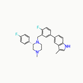 Cc1c[nH]c2ccc(-c3ccc(F)c(CN4CCN(C)C[C@@H]4c4ccc(F)cc4)c3)cc12